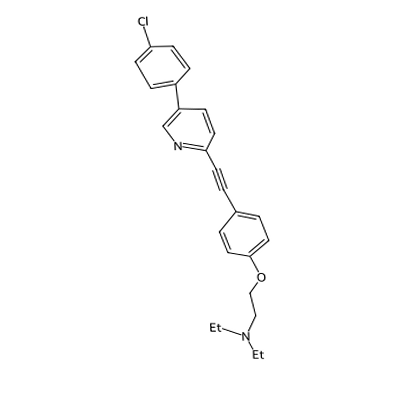 CCN(CC)CCOc1ccc(C#Cc2ccc(-c3ccc(Cl)cc3)cn2)cc1